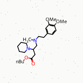 CCCCOC(=O)CC(CN(C)CCc1ccc(OC)c(OC)c1)N1CCCCC1